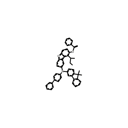 C=C(Oc1ccc2oc3ccc(N(c4ccc(-c5ccccc5)cc4)c4ccc5c(c4)-c4ccccc4C5(C)C)cc3c2c1C(C)CC)c1ccccc1